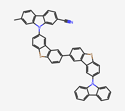 Cc1ccc2c3ccc(C#N)cc3n(-c3ccc4sc5ccc(-c6ccc7sc8ccc(-n9c%10ccccc%10c%10ccccc%109)cc8c7c6)cc5c4c3)c2c1